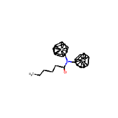 CCCCCC(O)N([C]12[CH]3[CH]4[CH]5[CH]1[Fe]45321678[CH]2[CH]1[CH]6[CH]7[CH]28)[C]12[CH]3[CH]4[CH]5[CH]1[Fe]45321678[CH]2[CH]1[CH]6[CH]7[CH]28